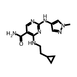 Cn1cc(Nc2ncc(C(N)=O)c(NCCC3CC3)n2)cn1